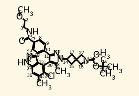 COCCNC(=O)c1ccc(-c2nn(C3CC4(C3)CN(C(=O)OC(C)(C)C)C4)c(C)c2-c2c(Cl)c(C)cc3[nH]ncc23)cc1